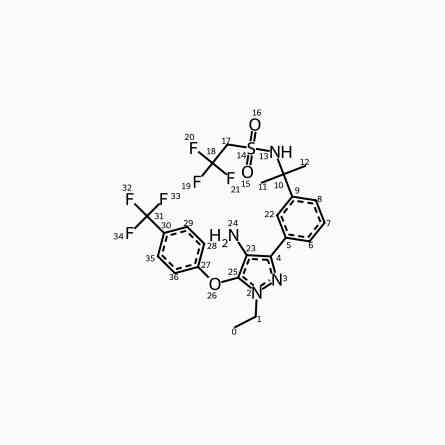 CCn1nc(-c2cccc(C(C)(C)NS(=O)(=O)CC(F)(F)F)c2)c(N)c1Oc1ccc(C(F)(F)F)cc1